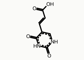 O=C(O)C=Cc1c[nH]c(=O)[nH]c1=O